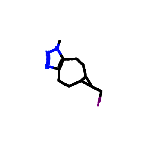 Cn1nnc2c1CCC1C(CI)C1CC2